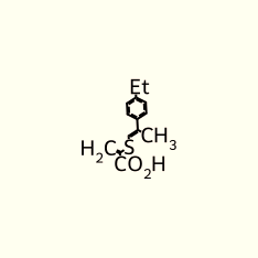 C=C(S/C=C(\C)c1ccc(CC)cc1)C(=O)O